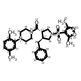 Cc1ccc(C)c(N2CCN(C(=O)[C@@H]3CN(S(=O)(=O)c4c(C)noc4C)C[C@H]3Cc3ccccc3)CC2)c1